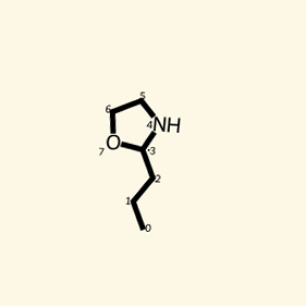 CCC[C]1NCCO1